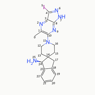 Cc1nc2c(I)n[nH]c2nc1N1CCC2(CC1)Cc1ccccc1[C@H]2N